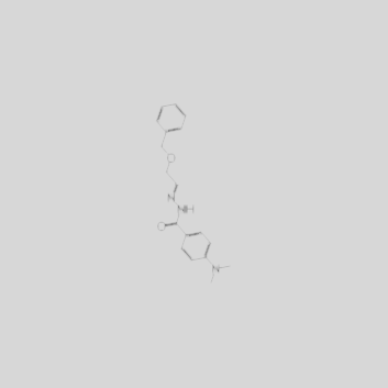 CN(C)c1ccc(C(=O)NN=CCOCc2ccccc2)cc1